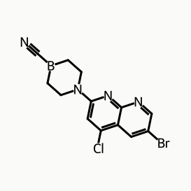 N#CB1CCN(c2cc(Cl)c3cc(Br)cnc3n2)CC1